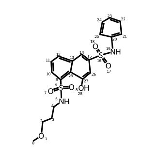 COCCCNS(=O)(=O)c1cccc2cc(S(=O)(=O)Nc3ccccc3)cc(O)c12